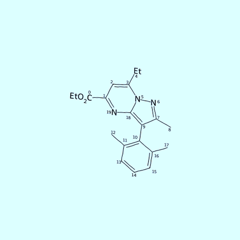 CCOC(=O)c1cc(CC)n2nc(C)c(-c3c(C)cccc3C)c2n1